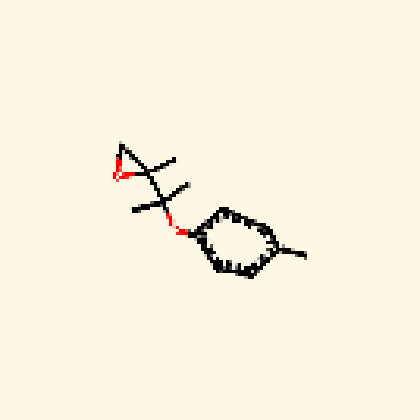 Cc1ccc(OC(C)(C)C2(C)CO2)cc1